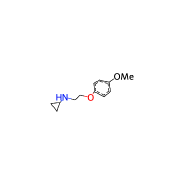 COc1ccc(OCCNC2CC2)cc1